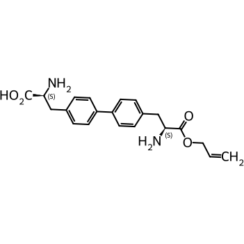 C=CCOC(=O)[C@@H](N)Cc1ccc(-c2ccc(C[C@H](N)C(=O)O)cc2)cc1